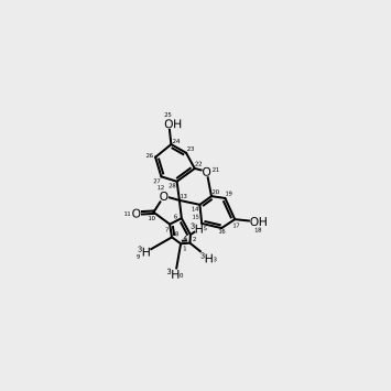 [3H]c1c([3H])c([3H])c2c(c1[3H])C(=O)OC21c2ccc(O)cc2Oc2cc(O)ccc21